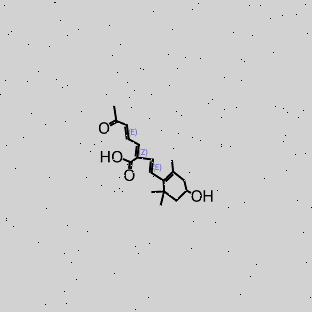 CC(=O)/C=C/C=C(/C=C/C1=C(C)CC(O)CC1(C)C)C(=O)O